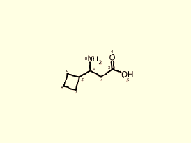 NC(CC(=O)O)C1CCC1